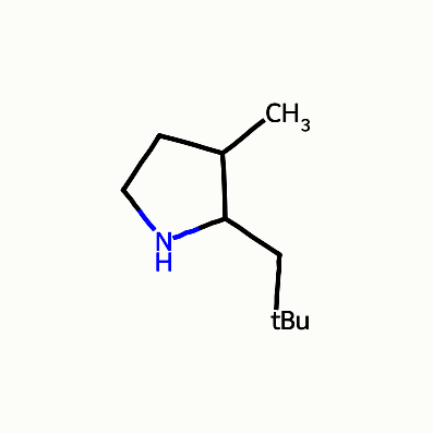 CC1CCNC1CC(C)(C)C